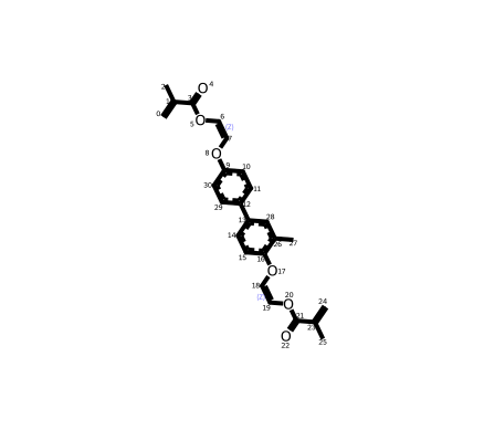 C=C(C)C(=O)O/C=C\Oc1ccc(-c2ccc(O/C=C\OC(=O)C(=C)C)c(C)c2)cc1